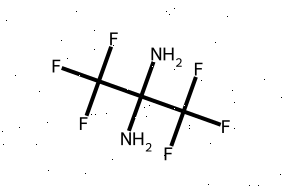 NC(N)(C(F)(F)F)C(F)(F)F